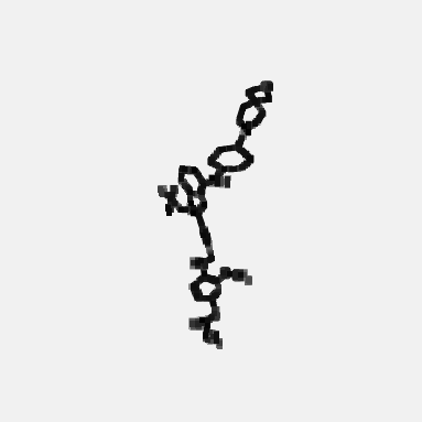 CNSc1ccc(NCC#Cc2cc3c(NC4CCC(N5CCC6(CC5)COC6)CC4)cccc3n2CC(F)(F)F)c(OC)c1